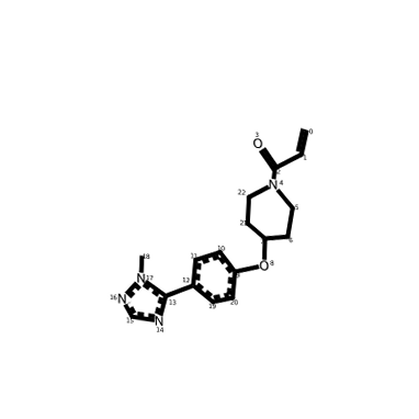 C=CC(=O)N1CCC(Oc2ccc(-c3ncnn3C)cc2)CC1